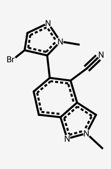 Cn1cc2c(C#N)c(-c3c(Br)cnn3C)ccc2n1